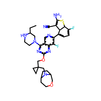 CCC1CN(c2nc(OCC3(CN4C5CCOCC4CC5)CC3)nc3c(F)c(C4=CC=C(F)C5SC(N)=C(C#N)C45)ncc23)CCN1